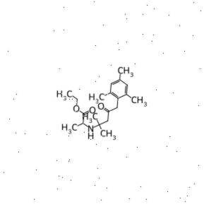 CCOC(=O)C(C)NC(C)(C)CC(=O)Cc1c(C)cc(C)cc1C